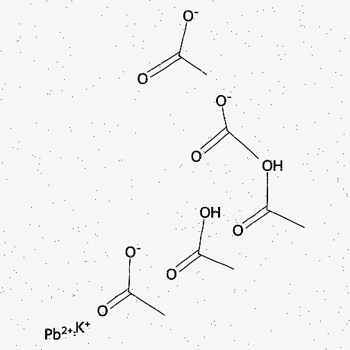 CC(=O)O.CC(=O)O.CC(=O)[O-].CC(=O)[O-].CC(=O)[O-].[K+].[Pb+2]